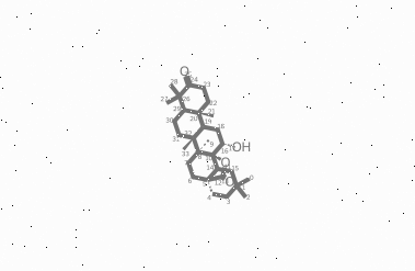 CC1(C)CC[C@@]23CC[C@]4(C)[C@@](OC2=O)(C3C1)[C@@H](O)CC1[C@@]2(C)CCC(=O)C(C)(C)C2CC[C@]14C